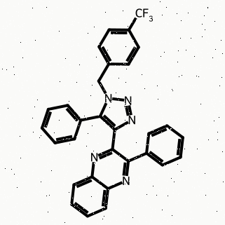 FC(F)(F)c1ccc(Cn2nnc(-c3nc4ccccc4nc3-c3ccccc3)c2-c2ccccc2)cc1